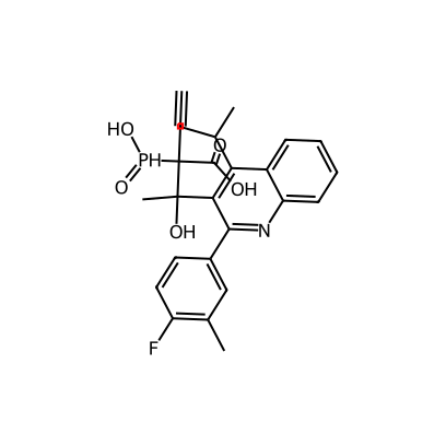 C#CC(C(=O)O)([PH](=O)O)C(C)(O)c1c(-c2ccc(F)c(C)c2)nc2ccccc2c1C(C)C